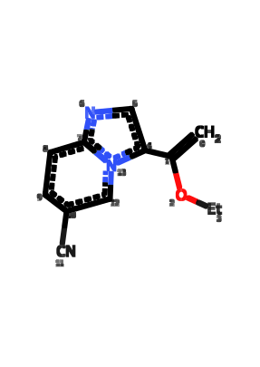 C=C(OCC)c1cnc2ccc(C#N)cn12